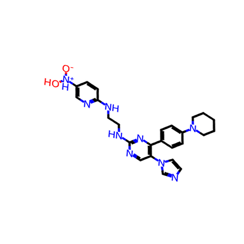 [O-][NH+](O)c1ccc(NCCNc2ncc(-n3ccnc3)c(-c3ccc(N4CCCCC4)cc3)n2)nc1